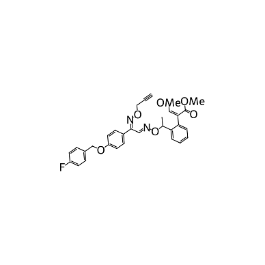 C#CCON=C(C=NOC(C)c1ccccc1C(=COC)C(=O)OC)c1ccc(OCc2ccc(F)cc2)cc1